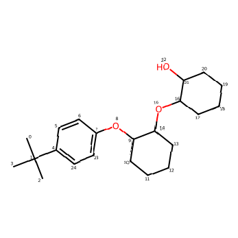 CC(C)(C)c1ccc(OC2CCCCC2OC2CCCCC2O)cc1